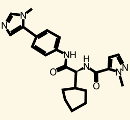 Cn1cncc1-c1ccc(NC(=O)[C@@H](NC(=O)c2ccnn2C)C2CCCCC2)cc1